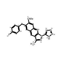 COc1cc2nc3c(cc2cc1Cc1ccc(F)cc1)c(C)nn3-c1nnn[nH]1